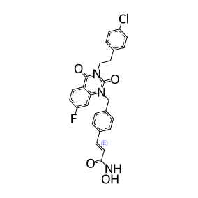 O=C(/C=C/c1ccc(Cn2c(=O)n(CCc3ccc(Cl)cc3)c(=O)c3ccc(F)cc32)cc1)NO